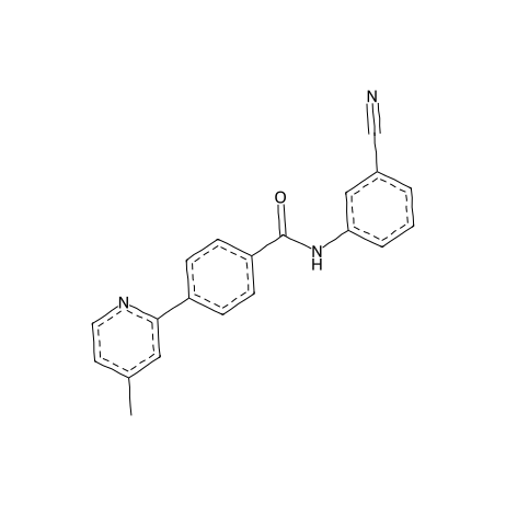 Cc1ccnc(-c2ccc(C(=O)Nc3cccc(C#N)c3)cc2)c1